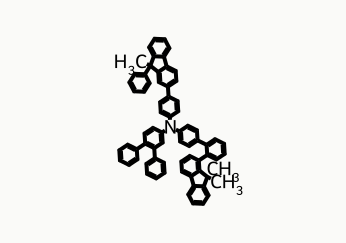 CC1(C)c2ccccc2-c2cccc(-c3ccccc3-c3ccc(N(c4ccc(-c5ccc6c(c5)C(C)(c5ccccc5)c5ccccc5-6)cc4)c4ccc(-c5ccccc5)c(-c5ccccc5)c4)cc3)c21